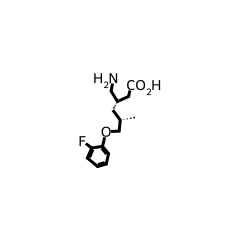 C[C@H](COc1ccccc1F)C[C@H](CN)CC(=O)O